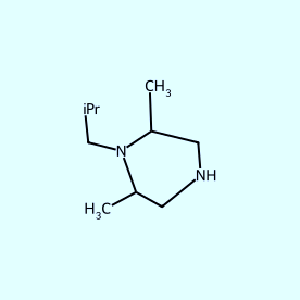 CC(C)CN1C(C)CNCC1C